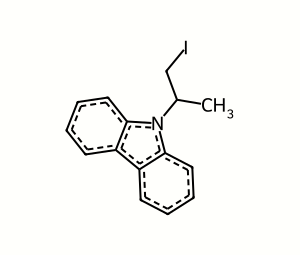 CC(CI)n1c2ccccc2c2ccccc21